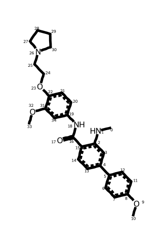 CNc1cc(-c2ccc(OC)cc2)ccc1C(=O)Nc1ccc(OCCN2CCCC2)c(OC)c1